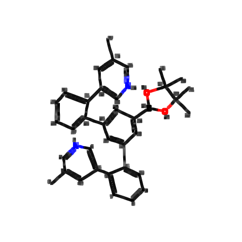 Cc1cncc(-c2ccccc2-c2cc(B3OC(C)(C)C(C)(C)O3)cc(-c3ccccc3-c3cncc(C)c3)c2)c1